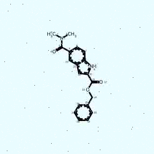 CN(C)C(=O)c1ccc2[nH]c(C(=O)OCc3ccccc3)cc2c1